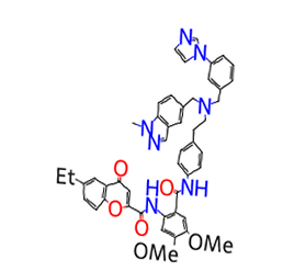 CCc1ccc2oc(C(=O)Nc3cc(OC)c(OC)cc3C(=O)Nc3ccc(CCN(Cc4cccc(-n5ccnc5)c4)Cc4ccc5c(cnn5C)c4)cc3)cc(=O)c2c1